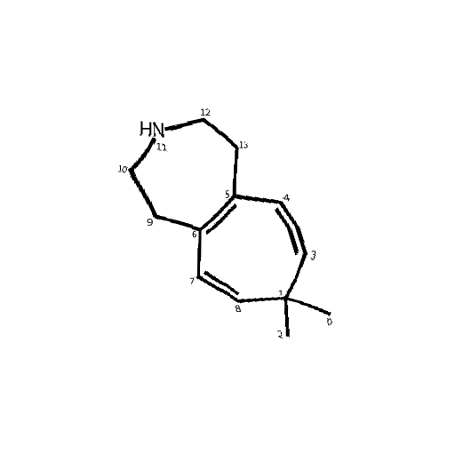 CC1(C)C=CC2=C(C=C1)CCNCC2